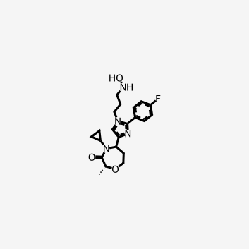 C[C@H]1OCCC(c2cn(CCCNO)c(-c3ccc(F)cc3)n2)N(C2CC2)C1=O